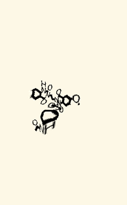 COc1ccc2c(c1)c(=O)n(CCn1c(=O)[nH]c3ccccc3c1=O)n2S(=O)(=O)c1ccc(NC(C)=O)cc1